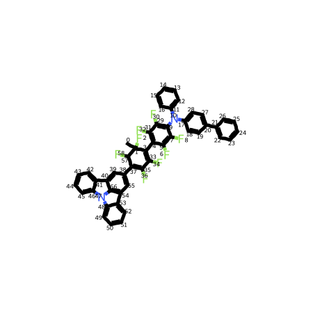 CC1(F)C(c2c(F)c(F)c(N(c3ccccc3)c3ccc(-c4ccccc4)cc3)c(F)c2F)=C(F)C(F)=C(c2cc3c4ccccc4n4c5ccccc5c(c2)c34)C1F